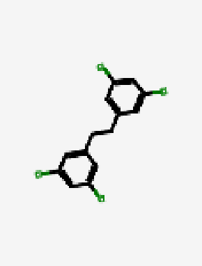 Clc1cc(Cl)cc(CCc2cc(Cl)cc(Cl)c2)c1